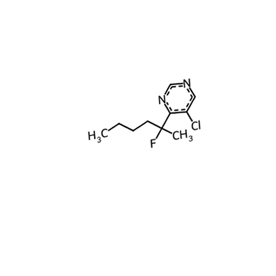 CCCCC(C)(F)c1ncncc1Cl